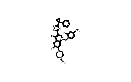 CN1CCN(c2cc3c(cc2F)c(=O)c(-c2noc(C4(c5ccccc5)CC4)n2)cn3Cc2ccc(C(F)(F)F)cc2F)CC1